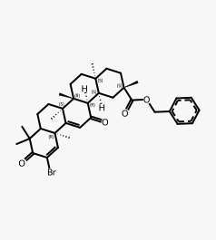 CC1(C)C(=O)C(Br)=C[C@]2(C)C3=CC(=O)[C@@H]4[C@@H]5C[C@@](C)(C(=O)OCc6ccccc6)CC[C@]5(C)CC[C@@]4(C)[C@]3(C)CCC12